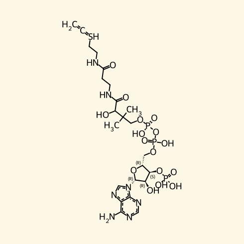 C=C=[SH]CCNC(=O)CCNC(=O)C(O)C(C)(C)COP(=O)(O)OP(=O)(O)OC[C@H]1O[C@@H](n2cnc3c(N)ncnc32)[C@H](O)[C@@H]1OP(=O)(O)O